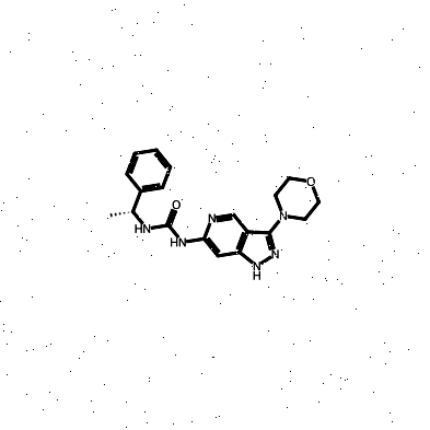 C[C@@H](NC(=O)Nc1cc2[nH]nc(N3CCOCC3)c2cn1)c1ccccc1